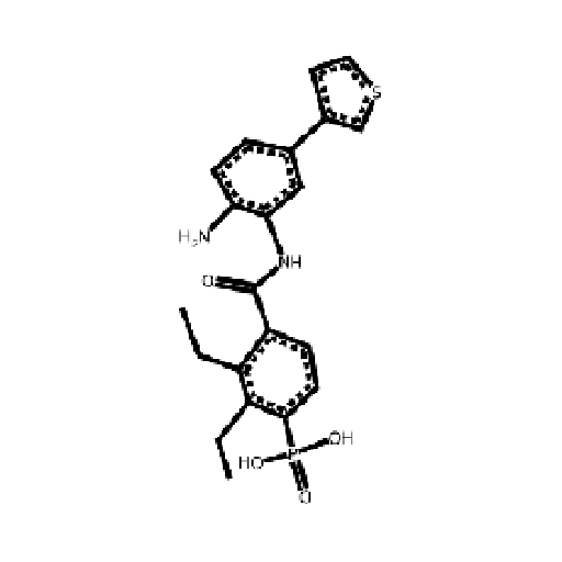 CCc1c(C(=O)Nc2cc(-c3ccsc3)ccc2N)ccc(P(=O)(O)O)c1CC